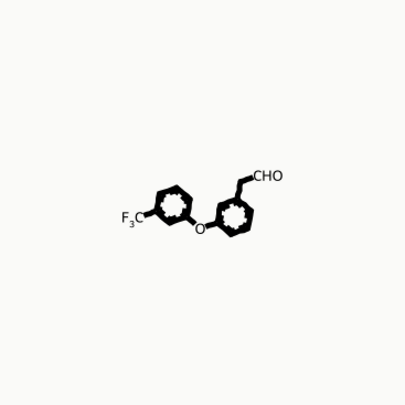 O=CCc1cccc(Oc2cccc(C(F)(F)F)c2)c1